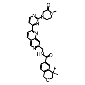 CN1CCN(c2nccc(-c3ccc4cnc(CNC(=O)c5ccc6c(c5)[C@](C)(F)COC6)cc4n3)n2)CC1=O